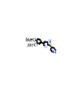 COc1ccc(-c2cnc3c(-c4ccncc4)snc3c2)cc1OC